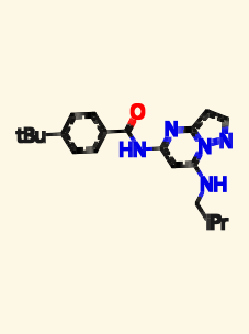 CC(C)CNc1cc(NC(=O)c2ccc(C(C)(C)C)cc2)nc2ccnn12